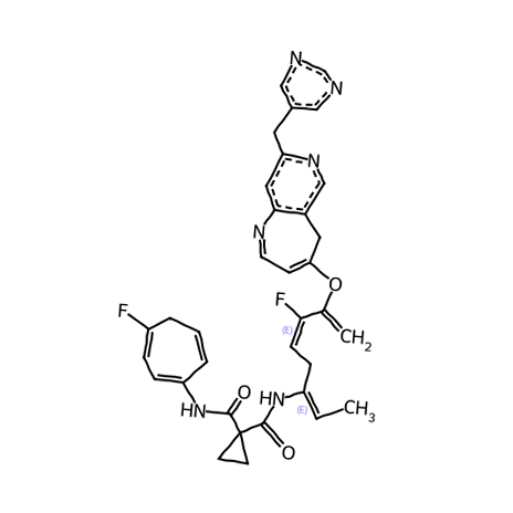 C=C(OC1=CC=Nc2cc(Cc3cncnc3)ncc2C1)/C(F)=C\C/C(=C\C)NC(=O)C1(C(=O)NC2=CC=C(F)CC=C2)CC1